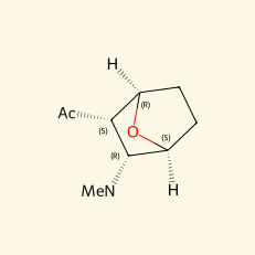 CN[C@@H]1[C@H](C(C)=O)[C@H]2CC[C@@H]1O2